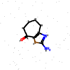 Nc1nc2c(s1)C(=O)CCCC2